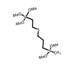 CO[Si](C)(CCCSCC[Si](OC)(OC)OC)OC